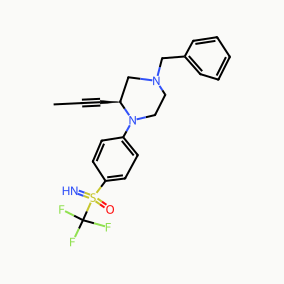 CC#C[C@H]1CN(Cc2ccccc2)CCN1c1ccc(S(=N)(=O)C(F)(F)F)cc1